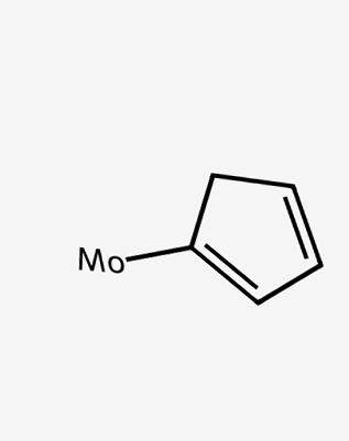 [Mo][C]1=CC=CC1